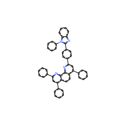 c1ccc(-c2cc(-c3ccccc3)c3ccc4c(-c5ccccc5)cc(-c5ccc(-c6nc7ccccc7n6-c6ccccc6)cc5)nc4c3n2)cc1